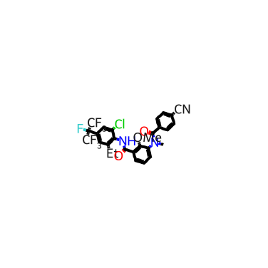 CCc1cc(C(F)(C(F)(F)F)C(F)(F)F)cc(Cl)c1NC(=O)c1cccc(N(C)C(=O)c2ccc(C#N)cc2)c1OC